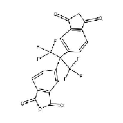 O=C1CC(=O)c2cc(C(c3ccc4c(c3)C(=O)OC4=O)(C(F)(F)F)C(F)(F)F)ccc21